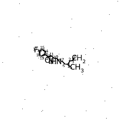 C=CCC(CC)CCNCc1cc(-c2ccc(F)cc2)on1